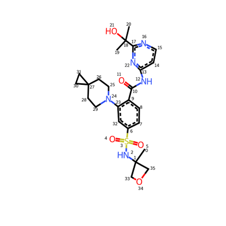 CC1(NS(=O)(=O)c2ccc(C(=O)Nc3ccnc(C(C)(C)O)n3)c(N3CCC4(CC3)CC4)c2)COC1